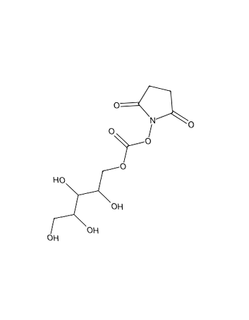 O=C(OCC(O)C(O)C(O)CO)ON1C(=O)CCC1=O